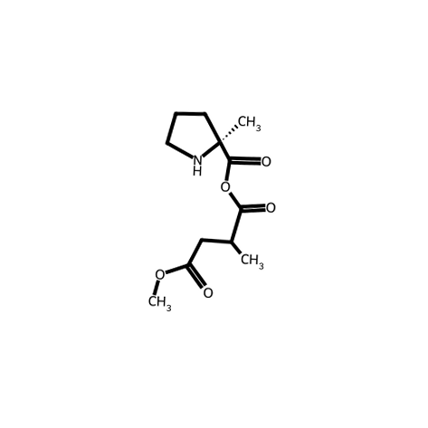 COC(=O)CC(C)C(=O)OC(=O)[C@]1(C)CCCN1